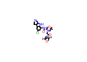 CC1(C)CN(CC(=O)N2C[C@@H]3C[C@H]2CO3)[C@H](C(=O)Nc2cc(Cl)cc3c2[nH]c2cnccc23)CO1